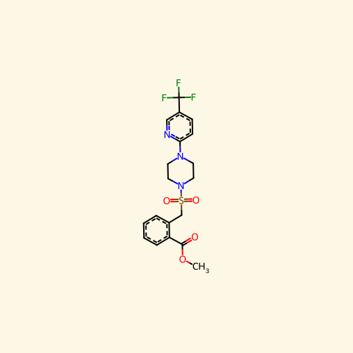 COC(=O)c1ccccc1CS(=O)(=O)N1CCN(c2ccc(C(F)(F)F)cn2)CC1